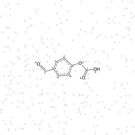 O=Cc1ccc(OC(=O)O)cc1